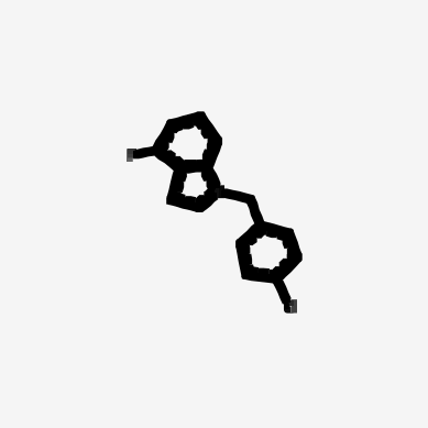 Fc1cccc2c1ccn2Cc1ccc(Cl)cc1